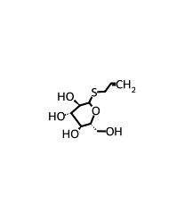 C=CCSC1O[C@H](CO)[C@@H](O)[C@H](O)[C@H]1O